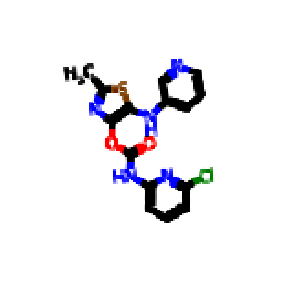 Cc1nc(OC(=O)Nc2cccc(Cl)n2)c(Nc2cccnc2)s1